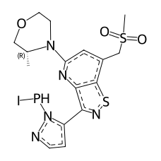 C[C@@H]1COCCN1c1cc(CS(C)(=O)=O)c2snc(-c3ccnn3PI)c2n1